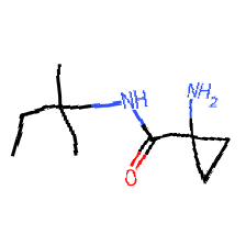 CCC(C)(C)NC(=O)C1(N)CC1